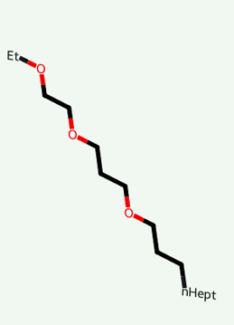 [CH2]COCCOCCCOCCCCCCCCCC